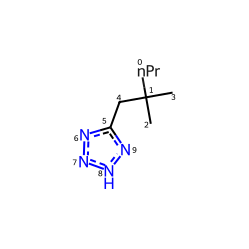 CCCC(C)(C)Cc1nn[nH]n1